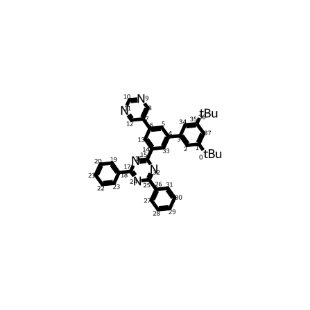 CC(C)(C)c1cc(-c2cc(-c3cncnc3)cc(-c3nc(-c4ccccc4)nc(-c4ccccc4)n3)c2)cc(C(C)(C)C)c1